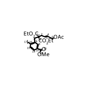 CCOC(=O)C(CC=CCOC(C)=O)(Cc1cc(C(=O)OC)ccc1I)C(=O)OCC